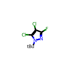 CC(C)(C)n1nc(F)c(Cl)c1Cl